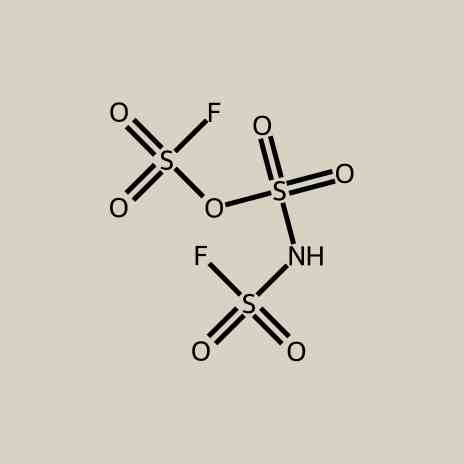 O=S(=O)(F)NS(=O)(=O)OS(=O)(=O)F